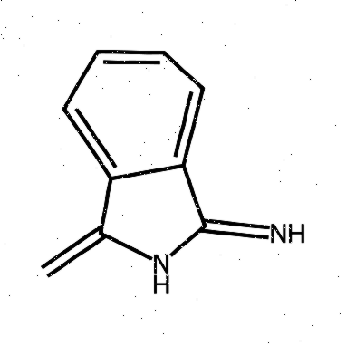 C=C1NC(=N)c2ccccc21